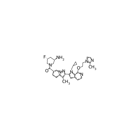 Cc1c(-c2cc3ccnc(OCCn4ccnc4C)c3n2CC2CC2)nn2cc(C(=O)N3C[C@H](N)C[C@@H](F)C3)ccc12